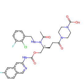 CC(=O)N(NCc1cccc(F)c1Cl)[C@@H](CCC(=O)N1CCN(C(=O)O)CC1)COC(=O)Nc1cc2cc(F)ccc2cn1